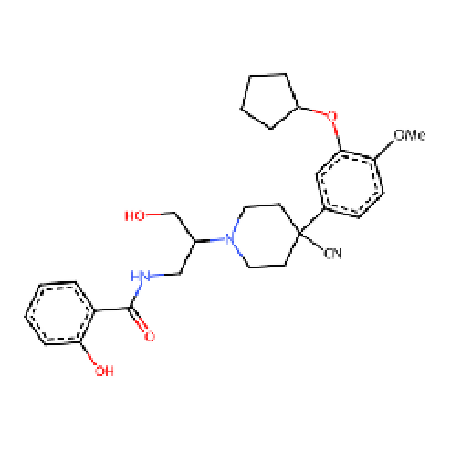 COc1ccc(C2(C#N)CCN(C(CO)CNC(=O)c3ccccc3O)CC2)cc1OC1CCCC1